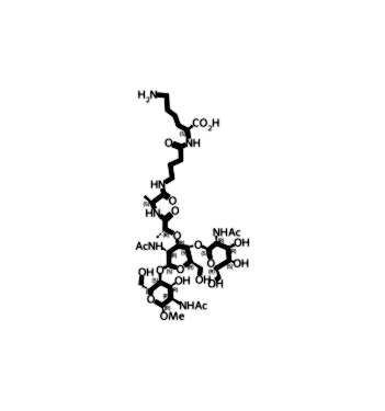 CO[C@@H]1O[C@H](CO)[C@@H](O[C@@H]2O[C@H](CO)[C@@H](O[C@@H]3O[C@H](CO)[C@@H](O)[C@H](O)[C@H]3NC(C)=O)[C@H](O[C@H](C)C(=O)N[C@@H](C)C(=O)NCCCC(=O)N[C@@H](CCCCN)C(=O)O)[C@H]2NC(C)=O)[C@H](O)[C@H]1NC(C)=O